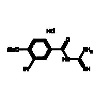 COc1ccc(C(=O)NC(=N)N)cc1C(C)C.Cl